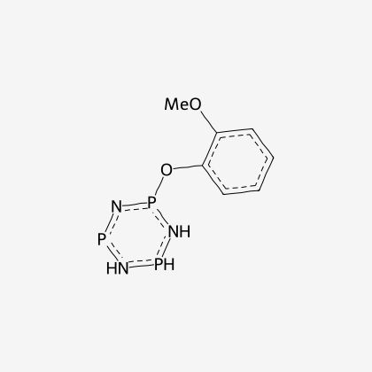 COc1ccccc1Op1np[nH][pH][nH]1